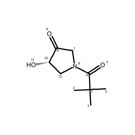 CC(C)(C)C(=O)N1CC(=O)[C@@H](O)C1